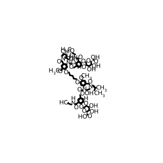 C#CCNC(=O)c1cc(COC(=O)N2c3cc(OCCCCCOc4cc5c(cc4OC)C(=O)N4C=C(C)C[C@H]4C(O)N5C(=O)OCc4ccc(O[C@@H]5O[C@H](C(=O)O)[C@@H](O)[C@H](O)[C@H]5O)c(C(=O)NCCOC)c4)c(OC)cc3C(=O)N(/C=C(/C)CC)CC2O)ccc1O[C@@H]1O[C@H](C(=O)O)[C@@H](O)[C@H](O)[C@H]1O